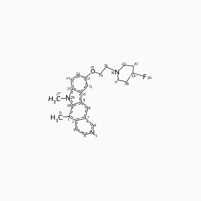 Cc1c2ccncc2cc2c3cc(OCCN4CCC(F)CC4)ccc3n(C)c12